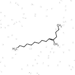 [CH2]CCCC(C)=CCCCCCCCCC